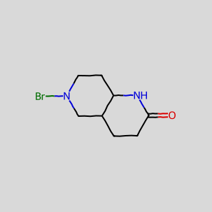 O=C1CCC2CN(Br)CCC2N1